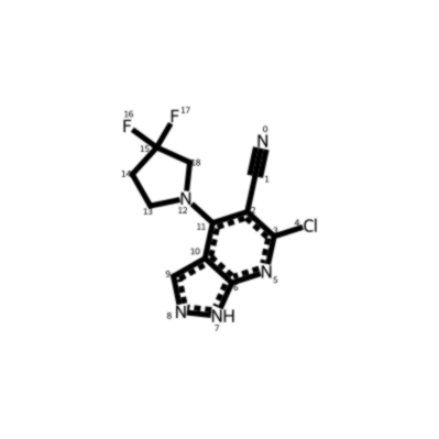 N#Cc1c(Cl)nc2[nH]ncc2c1N1CCC(F)(F)C1